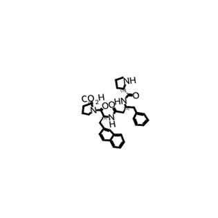 O=C(C[C@H](Cc1ccccc1)NC(=O)[C@@H]1CCCN1)N[C@@H](Cc1ccc2ccccc2c1)C(=O)N1CCC[C@H]1C(=O)O